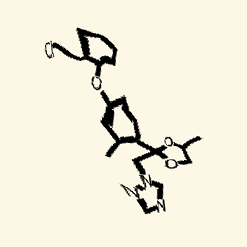 Cc1cc(Oc2ccccc2Cl)ccc1C1(Cn2cncn2)OCC(C)O1